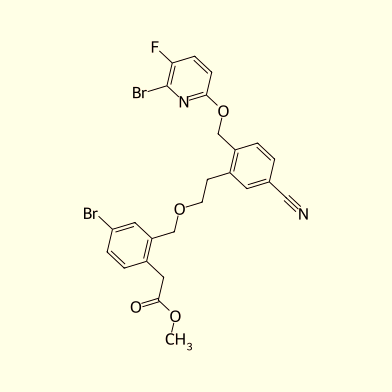 COC(=O)Cc1ccc(Br)cc1COCCc1cc(C#N)ccc1COc1ccc(F)c(Br)n1